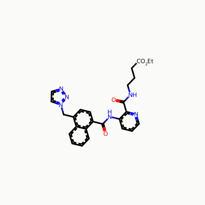 CCOC(=O)CCCNC(=O)c1ncccc1NC(=O)c1ccc(Cn2ccnn2)c2ccccc12